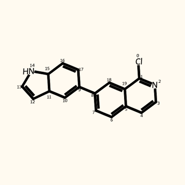 Clc1nccc2ccc(C3=CC4C=CNC4C=C3)cc12